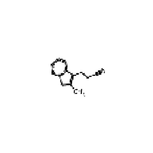 CC1=C(CCC#N)c2ccccc2C1